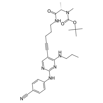 CCCNc1nc(Nc2ccc(C#N)cc2)ncc1C#CCCCNC(=O)[C@H](C)N(C)C(=O)OC(C)(C)C